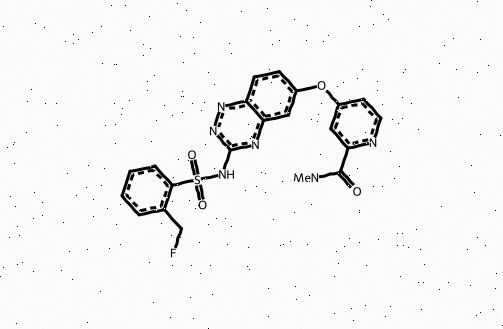 CNC(=O)c1cc(Oc2ccc3nnc(NS(=O)(=O)c4ccccc4CF)nc3c2)ccn1